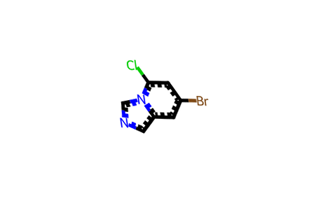 Clc1cc(Br)cc2cncn12